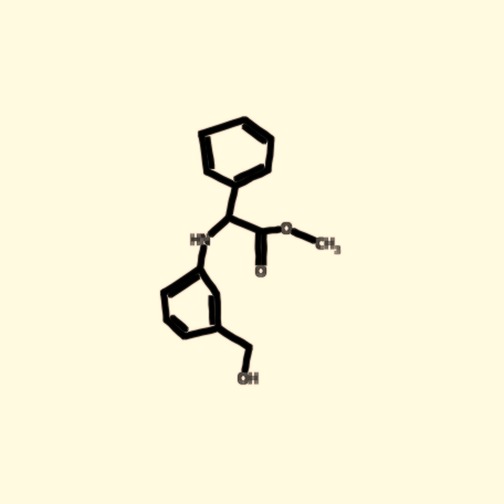 COC(=O)C(Nc1cccc(CO)c1)c1ccccc1